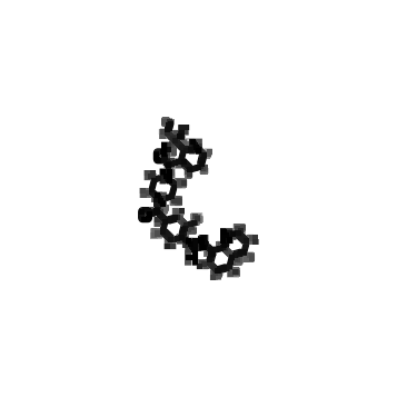 C=CC(F)(F)c1ncccc1C(=O)N1CCN(C(=O)c2ccc(NSc3cccc4cccnc34)c(C)c2)CC1